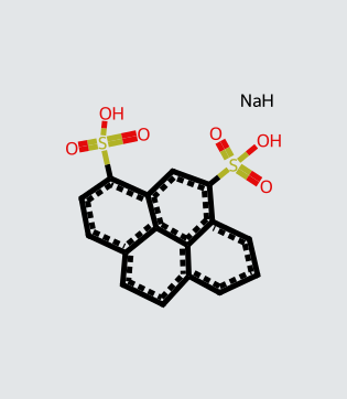 O=S(=O)(O)c1cc2c(S(=O)(=O)O)ccc3ccc4cccc1c4c32.[NaH]